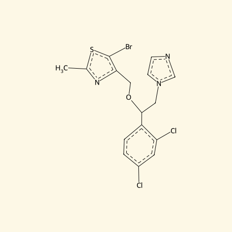 Cc1nc(COC(Cn2ccnc2)c2ccc(Cl)cc2Cl)c(Br)s1